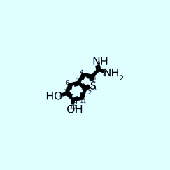 N=C(N)c1cc2cc(O)c(O)cc2s1